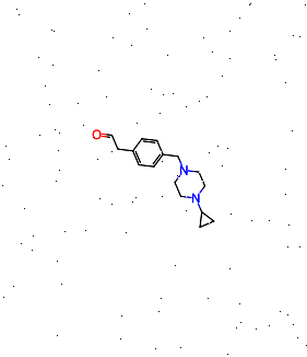 O=CCc1ccc(CN2CCN(C3CC3)CC2)cc1